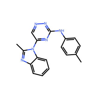 Cc1ccc(Nc2nncc(-n3c(C)nc4ccccc43)n2)cc1